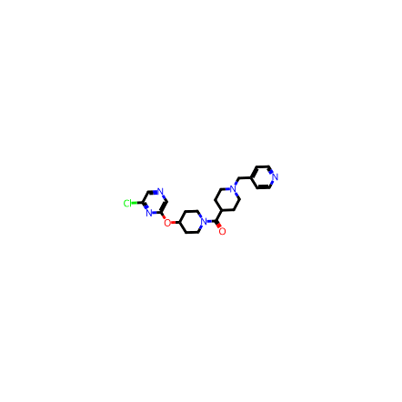 O=C(C1CCN(Cc2ccncc2)CC1)N1CCC(Oc2cncc(Cl)n2)CC1